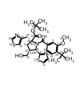 COc1cc(C(=O)N2[C@@H](c3nccs3)[C@@H](CO)C[C@@]2(Cc2cscn2)C(=O)OC(C)(C)C)ccc1C(C)(C)C